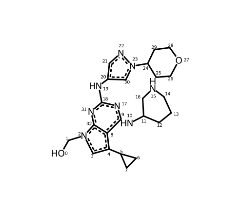 OCn1cc(C2CC2)c2c(NC3CCCNC3)nc(Nc3cnn(C4CCOCC4)c3)nc21